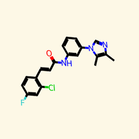 Cc1ncn(-c2cccc(NC(=O)C=Cc3ccc(F)cc3Cl)c2)c1C